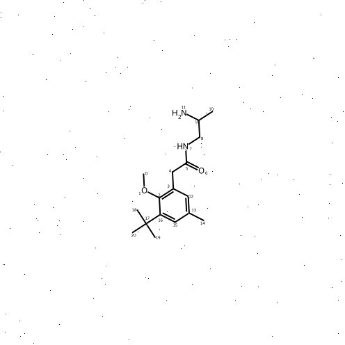 COc1c(CC(=O)NCC(C)N)cc(C)cc1C(C)(C)C